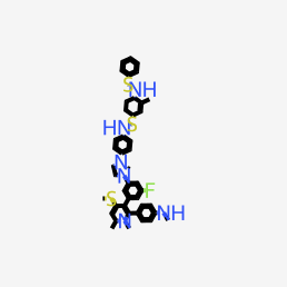 CNc1ccc(C2=C(c3cc(F)cc(N4CCN(c5ccc(NSC6C=C(C)C(NSc7ccccc7)CC6)cc5)C4)c3)C(SC)=CC(C)N2C)cc1